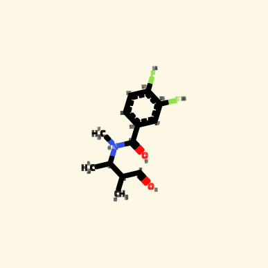 CC(C=O)C(C)N(C)C(=O)c1ccc(F)c(F)c1